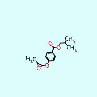 CC(C)COC(=O)c1ccc(OC2OC2C)cc1